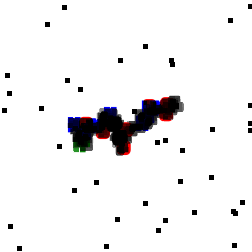 COc1ccc(-c2ccc3nccc(C(=O)NCC(=O)N4CC(F)(F)C[C@H]4C#N)c3c2)c(OCCCN2CCN(C(=O)CNC(=O)OC(C)(C)C)CC2)c1